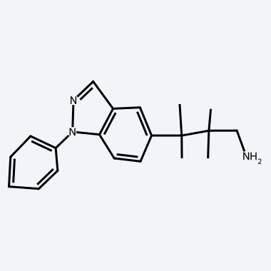 CC(C)(CN)C(C)(C)c1ccc2c(cnn2-c2ccccc2)c1